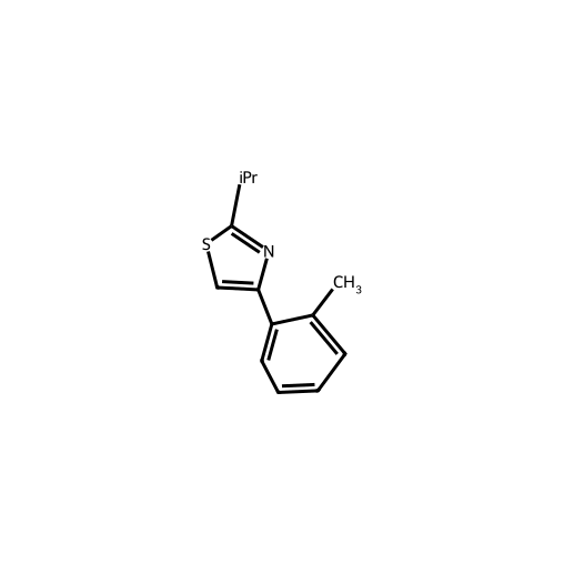 Cc1ccccc1-c1csc(C(C)C)n1